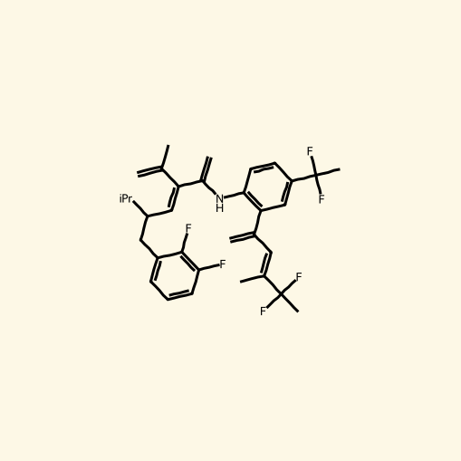 C=C(C)/C(=C\C(Cc1cccc(F)c1F)C(C)C)C(=C)Nc1ccc(C(C)(F)F)cc1C(=C)/C=C(\C)C(C)(F)F